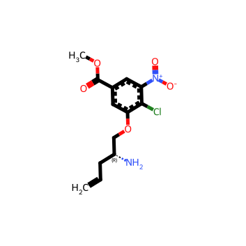 C=CC[C@@H](N)COc1cc(C(=O)OC)cc([N+](=O)[O-])c1Cl